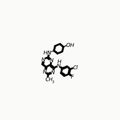 Cc1nc(Nc2ccc(F)c(Cl)c2)c2nc(N[C@H]3CC[C@H](O)CC3)ncc2n1